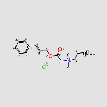 CCCCCCCCCCCC[N+](C)(C)CC(=O)OC/C=C/c1ccccc1.[Cl-]